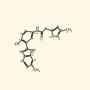 Cc1cnc2nc(-c3cc(NC(=O)Cc4cc(C)no4)ccc3Cl)[nH]c2c1